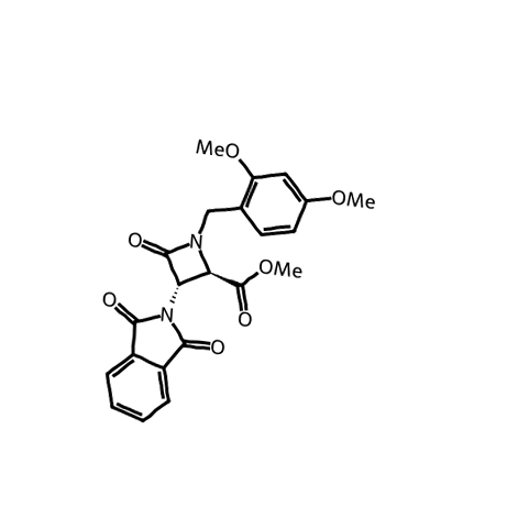 COC(=O)[C@H]1[C@H](N2C(=O)c3ccccc3C2=O)C(=O)N1Cc1ccc(OC)cc1OC